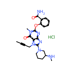 CC#CCn1c(N2CCCC(NC)C2)nc2nc(Oc3ccccc3C(N)=O)n(C)c(=O)c21.Cl